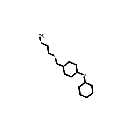 COCCOCC1CCC(NC2CCCCC2)CC1